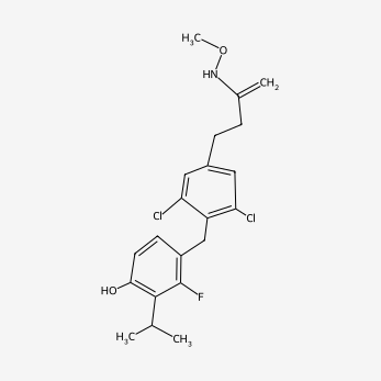 C=C(CCc1cc(Cl)c(Cc2ccc(O)c(C(C)C)c2F)c(Cl)c1)NOC